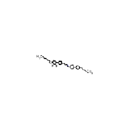 CCCCCCOc1ccc(-c2ccc(CC/C=C/C3CCC(C4CCC(CCCCC)CC4)CC3)cc2)c(F)c1F